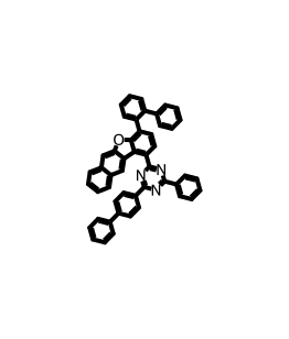 c1ccc(-c2ccc(-c3nc(-c4ccccc4)nc(-c4ccc(-c5ccccc5-c5ccccc5)c5oc6cc7ccccc7cc6c45)n3)cc2)cc1